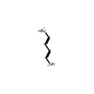 CCCC=CC=CCCCC